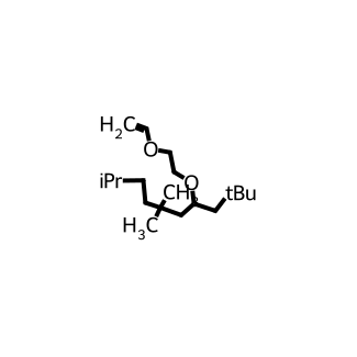 C=COCCOC(CC(C)(C)C)CC(C)(C)CCC(C)C